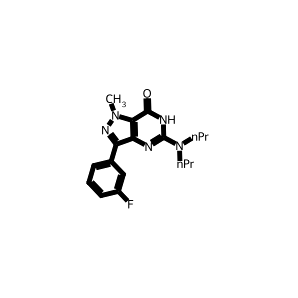 CCCN(CCC)c1nc2c(-c3cccc(F)c3)nn(C)c2c(=O)[nH]1